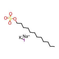 CCCCCCCCCCCCOS(=O)(=O)[O-].[K][I].[Na+]